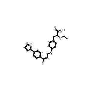 CCOC(Cc1ccc(OCC=C(C)c2ccc(-c3ccco3)cc2)cc1)C(=O)O